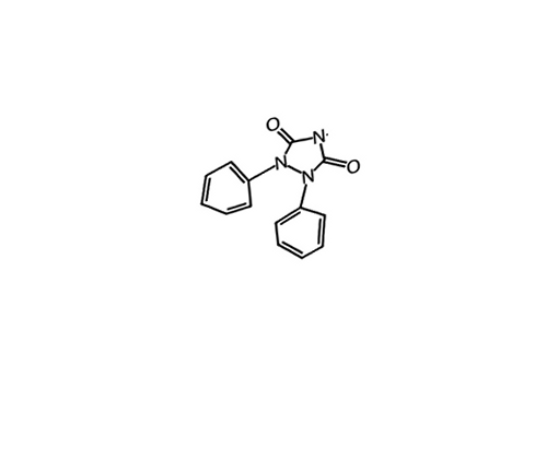 O=C1[N]C(=O)N(c2ccccc2)N1c1ccccc1